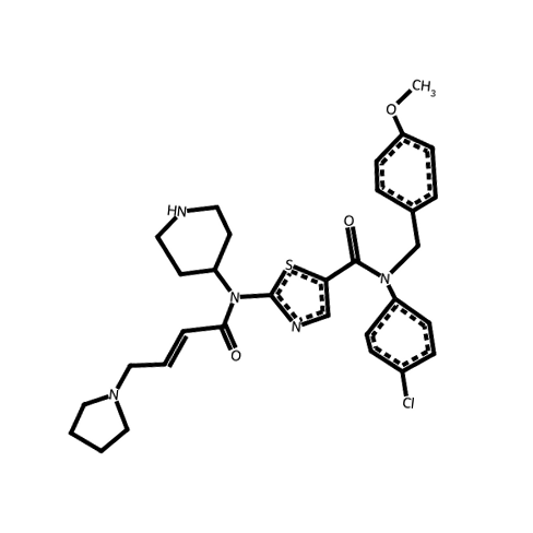 COc1ccc(CN(C(=O)c2cnc(N(C(=O)/C=C/CN3CCCC3)C3CCNCC3)s2)c2ccc(Cl)cc2)cc1